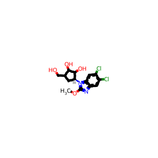 COc1nc2cc(Cl)c(Cl)cc2n1[C@H]1CC(CO)C(O)C1O